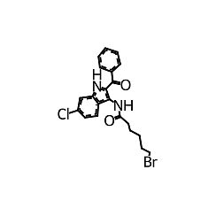 O=C(CCCCCBr)Nc1c(C(=O)c2ccccc2)[nH]c2cc(Cl)ccc12